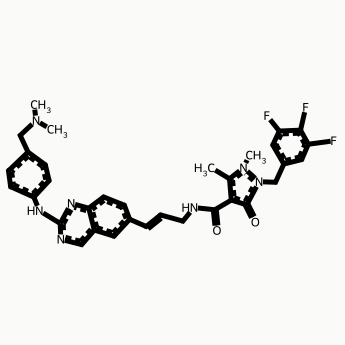 Cc1c(C(=O)NC/C=C/c2ccc3nc(Nc4ccc(CN(C)C)cc4)ncc3c2)c(=O)n(Cc2cc(F)c(F)c(F)c2)n1C